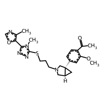 COc1cc([C@]23C[C@H]2CN(CCCSc2nnc(-c4ocnc4C)n2C)C3)ccc1C(C)=O